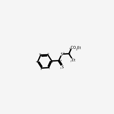 CCOC(=O)C(CC)SC(=S)c1ccccc1